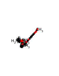 CCCCCCCCCCCCCCCCCCCCCCOC(=O)[C@H](C)NP(=O)(OC[C@@]1(C)O[C@@H](n2cnc3c(N)nc(F)nc32)C[C@@H]1O)Oc1ccccc1